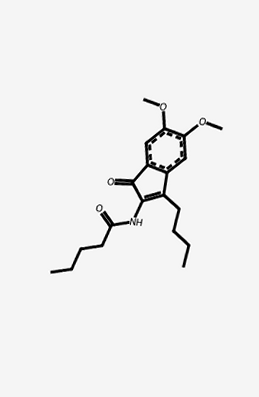 CCCCC(=O)NC1=C(CCCC)c2cc(OC)c(OC)cc2C1=O